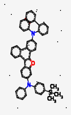 C[Si](C)(C)c1ccc(N(c2ccccc2)c2ccc3c(c2)oc2c4ccc(N(c5ccccc5)c5ccccc5-c5ccccc5)cc4c4ccccc4c32)cc1